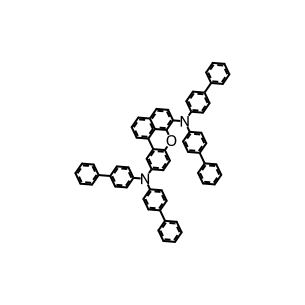 c1ccc(-c2ccc(N(c3ccc(-c4ccccc4)cc3)c3ccc4c(c3)-c3cccc5ccc(N(c6ccc(-c7ccccc7)cc6)c6ccc(-c7ccccc7)cc6)c(c35)O4)cc2)cc1